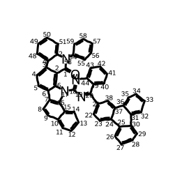 O=c1c2c(ccc3c4ccc5ccccc5c4n(-c4nc(-c5ccc6c7ccccc7c7ccccc7c6c5)c5ccccc5n4)c32)c2ccccc2n1-c1ccccc1